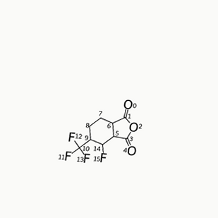 O=C1OC(=O)C2C1CCC(C(F)(F)F)C2F